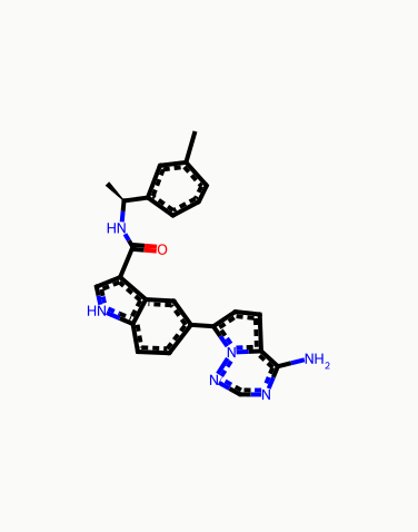 Cc1cccc([C@H](C)NC(=O)c2c[nH]c3ccc(-c4ccc5c(N)ncnn45)cc23)c1